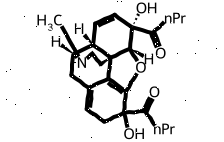 CCCC(=O)C1(O)CC=C2C[C@@H]3[C@@H]4C=C[C@@](O)(C(=O)CCC)[C@@H]5OC1=C2[C@@]54CCN3C